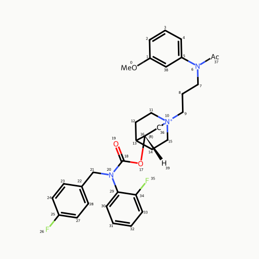 COc1cccc(N(CCC[N+]23CCC(CC2)[C@@H](OC(=O)N(Cc2ccc(F)cc2)c2ccccc2F)C3)C(C)=O)c1